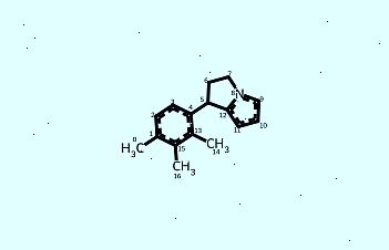 Cc1ccc(C2CCn3cccc32)c(C)c1C